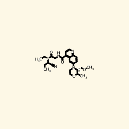 CCC(C#N)N(CC)C(=O)CNC(=O)c1ccnc2ccc(N3CCOC(C)[C@H]3COC)cc12